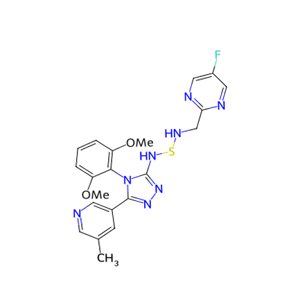 COc1cccc(OC)c1-n1c(NSNCc2ncc(F)cn2)nnc1-c1cncc(C)c1